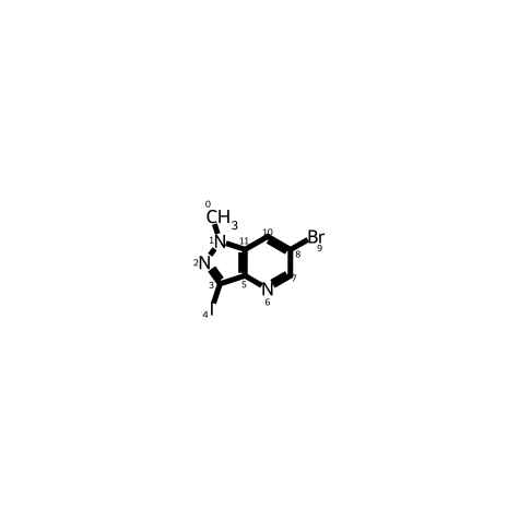 Cn1nc(I)c2ncc(Br)cc21